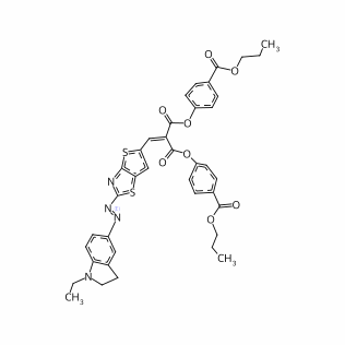 CCCOC(=O)c1ccc(OC(=O)C(=Cc2cc3sc(/N=N/c4ccc5c(c4)CCN5CC)nc3s2)C(=O)Oc2ccc(C(=O)OCCC)cc2)cc1